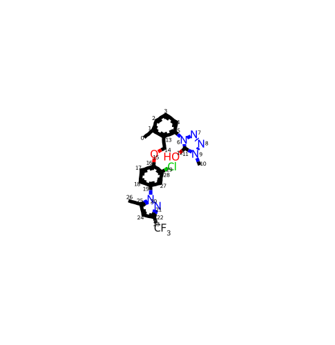 Cc1cccc(N2N=NN(C)C2O)c1COc1ccc(-n2nc(C(F)(F)F)cc2C)cc1Cl